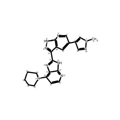 Cn1cc(-c2cnc3[nH]nc(-c4nc5c(N6CCCCC6)ccnc5[nH]4)c3c2)cn1